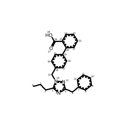 CCCc1nc(Cc2ccccc2)nn1Cc1ccc(-c2ccccc2C(=O)O)cc1